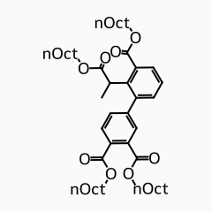 CCCCCCCCOC(=O)c1ccc(-c2cccc(C(=O)OCCCCCCCC)c2C(C)C(=O)OCCCCCCCC)cc1C(=O)OCCCCCCCC